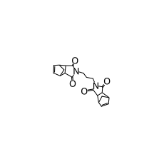 O=C1C2C3C=CC(C3)C2C(=O)N1CCCN1C(=O)C2C3C=CC(C3)C2C1=O